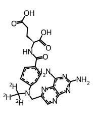 [2H]C([2H])([2H])N(Cc1cnc2nc(N)nc(N)c2n1)c1ccc(C(=O)N[C@@H](CCC(=O)O)C(=O)O)cc1